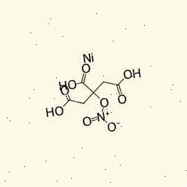 O=C(O)CC(CC(=O)O)(O[N+](=O)[O-])C(=O)O.[Ni]